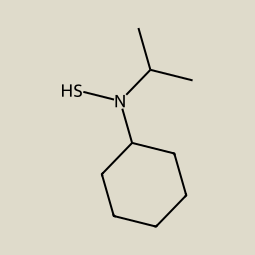 CC(C)N(S)C1CCCCC1